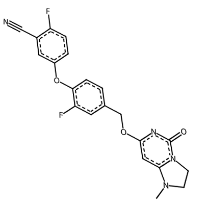 CN1CCn2c1cc(OCc1ccc(Oc3ccc(F)c(C#N)c3)c(F)c1)nc2=O